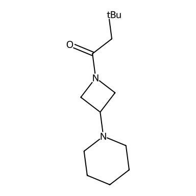 CC(C)(C)CC(=O)N1CC(N2CCCCC2)C1